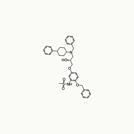 CS(=O)(=O)Nc1cc(OC[C@@H](O)CN(Cc2ccccc2)C2CCC(c3ccccc3)CC2)ccc1OCc1ccccc1